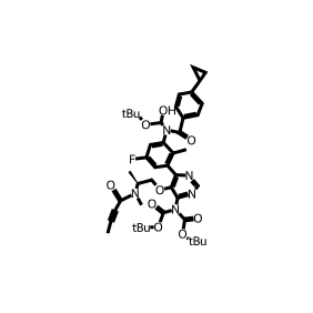 CC#CC(=O)N(C)[C@@H](C)COc1c(-c2cc(F)cc(N(C(=O)c3ccc(C4CC4)cc3)C(O)OC(C)(C)C)c2C)ncnc1N(C(=O)OC(C)(C)C)C(=O)OC(C)(C)C